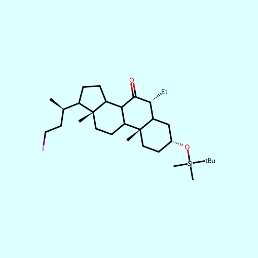 CC[C@H]1C(=O)C2C3CCC([C@H](C)CCI)[C@@]3(C)CCC2[C@@]2(C)CC[C@@H](O[Si](C)(C)C(C)(C)C)CC12